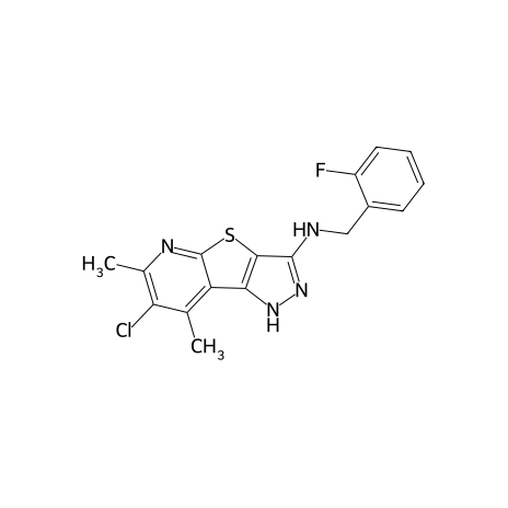 Cc1nc2sc3c(NCc4ccccc4F)n[nH]c3c2c(C)c1Cl